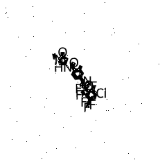 CCN1C[C@H](NC(=O)c2ccc(C3=NO[C@](c4cc(C(F)(F)F)cc(Cl)c4F)(C(F)(F)F)C3)cc2C)CC1=O